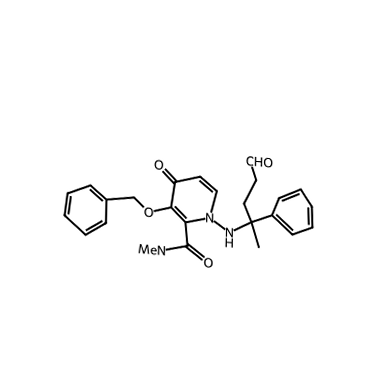 CNC(=O)c1c(OCc2ccccc2)c(=O)ccn1NC(C)(CCC=O)c1ccccc1